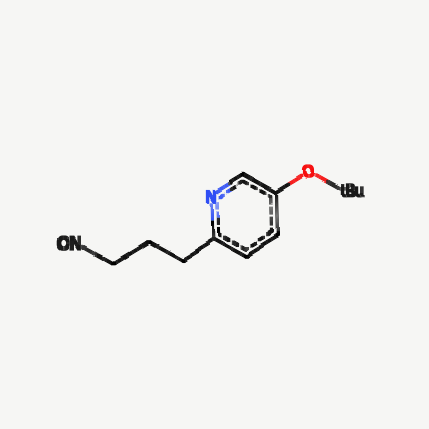 CC(C)(C)Oc1ccc(CCCN=O)nc1